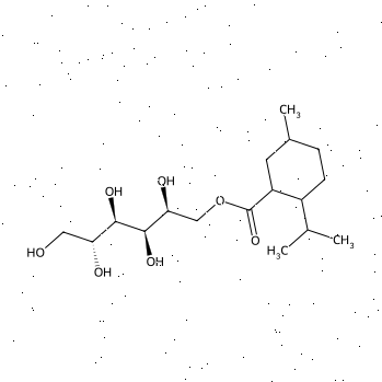 CC1CCC(C(C)C)C(C(=O)OC[C@H](O)[C@@H](O)[C@H](O)[C@H](O)CO)C1